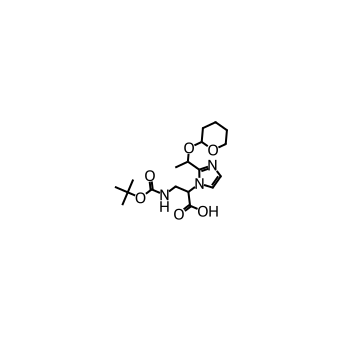 CC(OC1CCCCO1)c1nccn1C(CNC(=O)OC(C)(C)C)C(=O)O